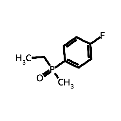 CCP(C)(=O)c1ccc(F)cc1